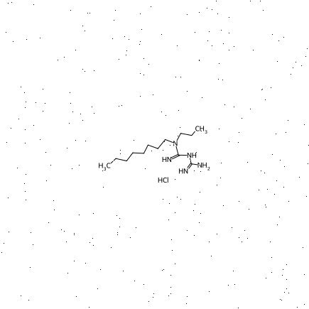 CCCCCCCCN(CCC)C(=N)NC(=N)N.Cl